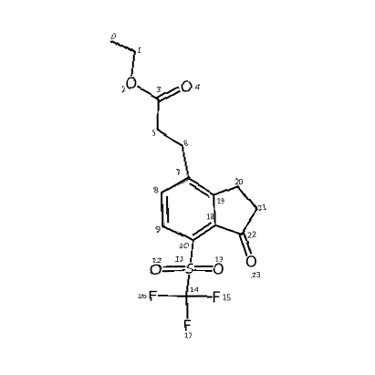 CCOC(=O)CCc1ccc(S(=O)(=O)C(F)(F)F)c2c1CCC2=O